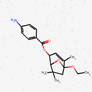 CCOC12CC(C)(C)C(O1)C(OC(=O)c1ccc(N)cc1)C=C2C